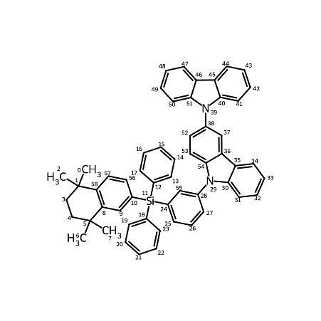 CC1(C)CCC(C)(C)c2cc([Si](c3ccccc3)(c3ccccc3)c3cccc(-n4c5ccccc5c5cc(-n6c7ccccc7c7ccccc76)ccc54)c3)ccc21